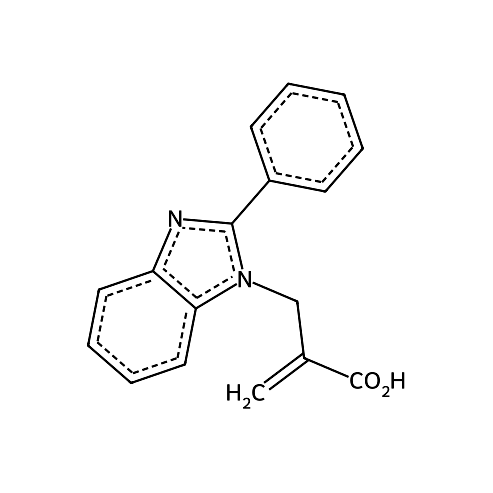 C=C(Cn1c(-c2ccccc2)nc2ccccc21)C(=O)O